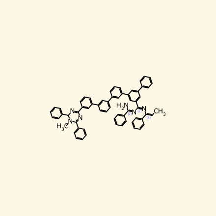 C\C=C(/N=C(\N=C(/N)c1ccccc1)c1cc(-c2ccccc2)cc(-c2cccc(-c3cccc(-c4cccc(C5=NC(c6ccccc6)N(C)C(c6ccccc6)=N5)c4)c3)c2)c1)c1ccccc1